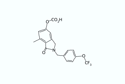 Cc1cc(OC(=O)O)cc2c1C(=O)N(Cc1ccc(OC(F)(F)F)cc1)C2